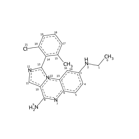 CCNc1ccc2nc(N)c3cnc(-c4c(C)cccc4Cl)n3c2c1